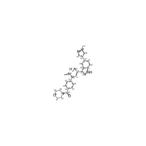 C=NN(/C=C(\N)c1n[nH]c2ccc(-c3cnn(C)c3)cc12)c1ccc(C(=O)N2CCOCC2)cc1